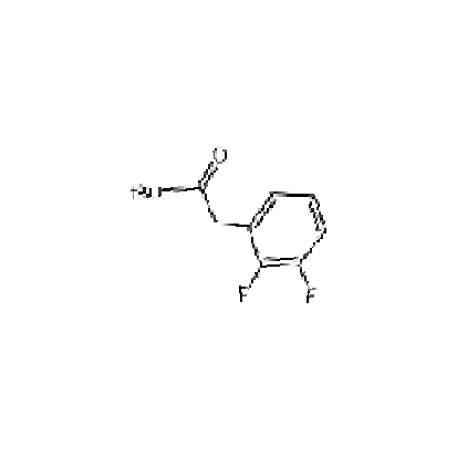 CC(C)(C)C(=O)Cc1cccc(F)c1F